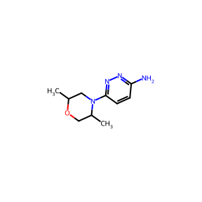 CC1CN(c2ccc(N)nn2)C(C)CO1